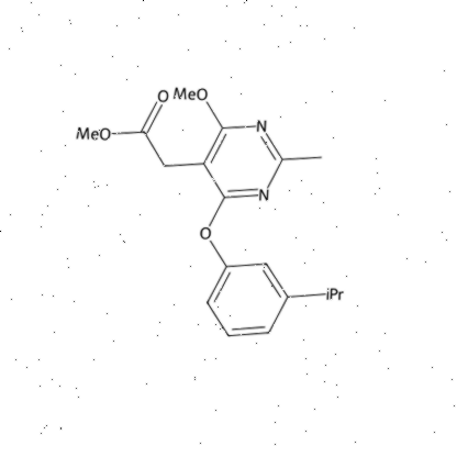 COC(=O)Cc1c(OC)nc(C)nc1Oc1cccc(C(C)C)c1